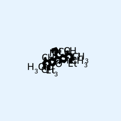 CCN1c2cc3c(cc2C(C)=CC1(C)C)C(c1nccn1C)=c1cc2c(cc1O3)=[N+](CC)C(C)(C)CC2C